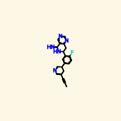 CC#CC1=CN=CC(c2ccc(F)c(C3Cc4ncncc4C(=N)N3)c2)C1